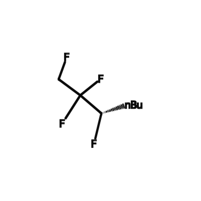 [CH2]CCC[C@H](F)C(F)(F)CF